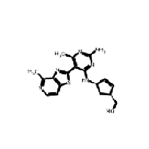 Cc1nc(N)nc(N[C@H]2C=C[C@@H](CO)C2)c1-c1nc2c(C)nccc2s1